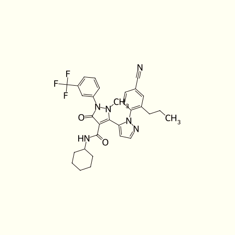 CCCc1cc(C#N)ccc1-n1nccc1-c1c(C(=O)NC2CCCCC2)c(=O)n(-c2cccc(C(F)(F)F)c2)n1C